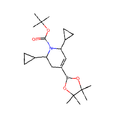 CC(C)(C)OC(=O)N1C(C2CC2)C=C(B2OC(C)(C)C(C)(C)O2)CC1C1CC1